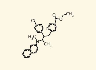 CCOC(=O)c1ccc(CC(c2ccc(Cl)cc2)C(C)N(C)c2ccc3ccccc3c2)nc1